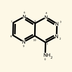 Nc1nnnc2nccnc12